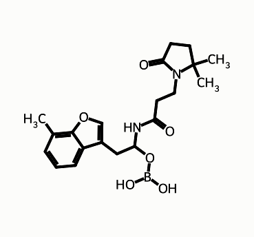 Cc1cccc2c(CC(NC(=O)CCN3C(=O)CCC3(C)C)OB(O)O)coc12